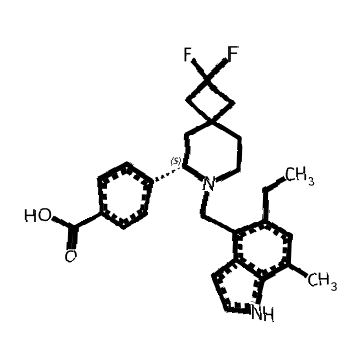 CCc1cc(C)c2[nH]ccc2c1CN1CCC2(C[C@H]1c1ccc(C(=O)O)cc1)CC(F)(F)C2